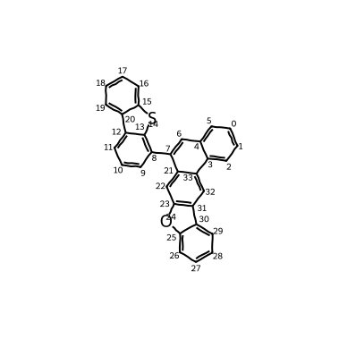 c1ccc2c(c1)cc(-c1cccc3c1sc1ccccc13)c1cc3oc4ccccc4c3cc12